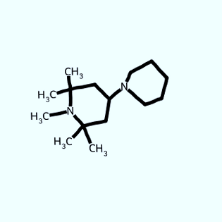 CN1C(C)(C)CC(N2CCCCC2)CC1(C)C